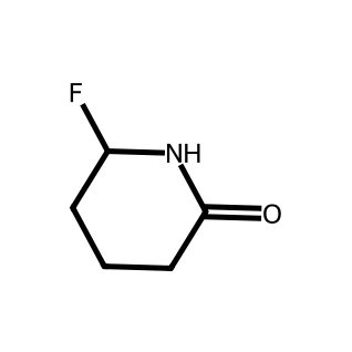 O=C1CCCC(F)N1